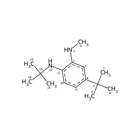 CNc1cc(C(C)(C)C)ccc1NC(C)(C)C